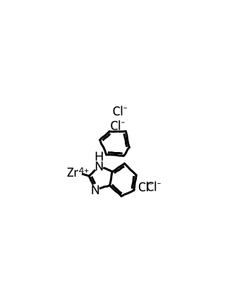 [Cl-].[Cl-].[Cl-].[Cl-].[Zr+4][c]1nc2ccccc2[nH]1.c1ccccc1